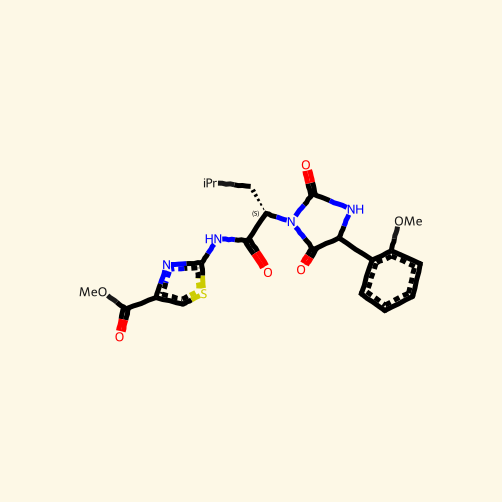 COC(=O)c1csc(NC(=O)[C@H](CC(C)C)N2C(=O)NC(c3ccccc3OC)C2=O)n1